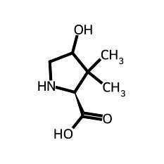 CC1(C)C(O)CN[C@@H]1C(=O)O